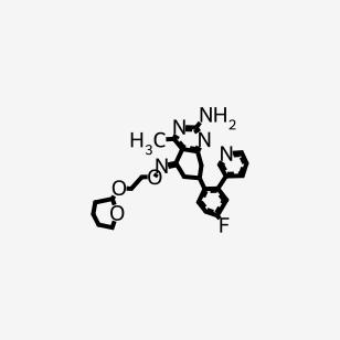 Cc1nc(N)nc2c1/C(=N/OCCOC1CCCCO1)CC(c1ccc(F)cc1-c1cccnc1)C2